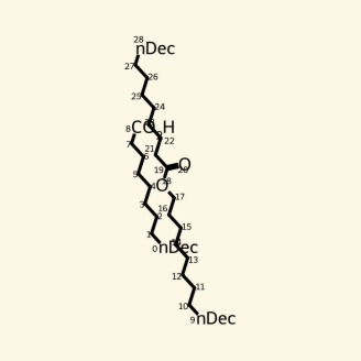 CCCCCCCCCCCCCCCCCC(=O)O.CCCCCCCCCCCCCCCCCCOC(=O)CCCCCCCCCCCCCCCCC